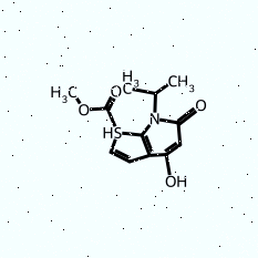 COC(=O)[SH]1C=Cc2c(O)cc(=O)n(C(C)C)c21